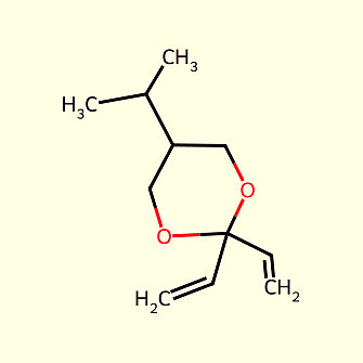 C=CC1(C=C)OCC(C(C)C)CO1